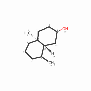 CC1CCC[C@@]2(C)CC[C@H](O)C[C@H]12